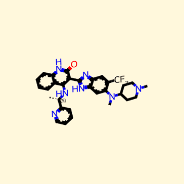 C[C@H](Nc1c(-c2nc3cc(C(F)(F)F)c(N(C)C4CCN(C)CC4)cc3[nH]2)c(=O)[nH]c2ccccc12)c1ccccn1